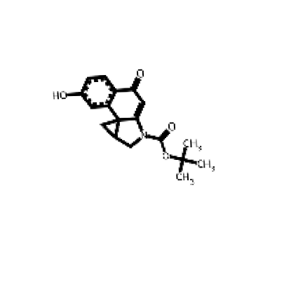 CC(C)(C)OC(=O)N1CC2CC23C1=CC(=O)c1ccc(O)cc13